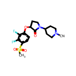 CS(=O)(=O)c1ccc(OC2CCN(C3CCN(C#N)CC3)C2=O)c(F)c1F